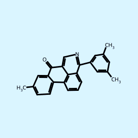 Cc1cc(C)cc(-c2ncc3c4c(cccc24)-c2ccc(C)cc2C3=O)c1